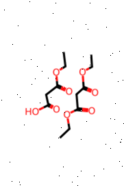 CCOC(=O)CC(=O)O.CCOC(=O)CC(=O)OCC